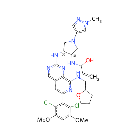 C=CC(O)N[C@H]1CN(c2cnn(C)c2)C[C@H]1Nc1ncc2cc(-c3c(Cl)c(OC)cc(OC)c3Cl)nc(NCC3CCCO3)c2n1